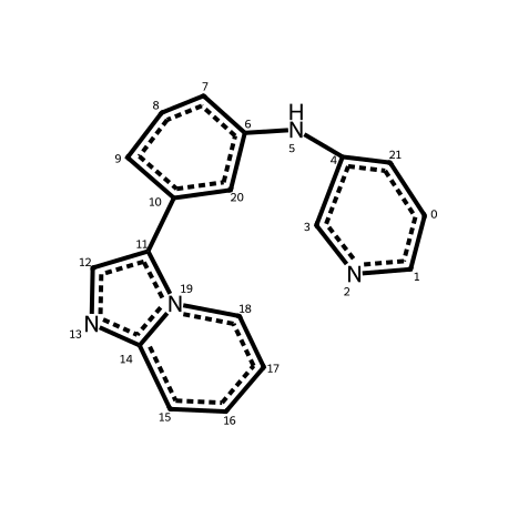 c1cncc(Nc2cccc(-c3cnc4ccccn34)c2)c1